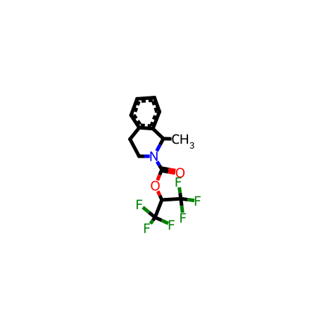 CC1c2ccccc2CCN1C(=O)OC(C(F)(F)F)C(F)(F)F